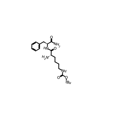 CC(C)(C)OC(=O)NCCCC[C@H](N)C(=O)N[C@@H](Cc1ccccc1)C(N)=O